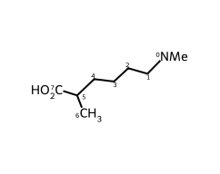 CNCCCCC(C)C(=O)O